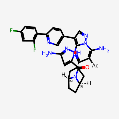 CC(=O)c1c([C@@H]2C[C@H]3CC[C@@H](C2)N3C(=O)c2cc(N)n[nH]2)nc2c(-c3ccc(-c4ccc(F)cc4F)nc3)cnn2c1N